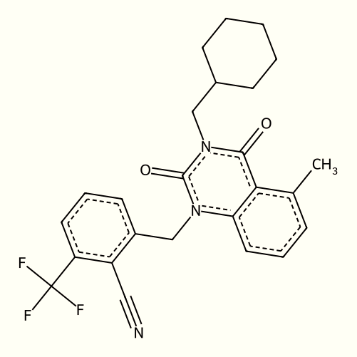 Cc1cccc2c1c(=O)n(CC1CCCCC1)c(=O)n2Cc1cccc(C(F)(F)F)c1C#N